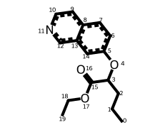 CCCC(Oc1ccc2ccncc2c1)C(=O)OCC